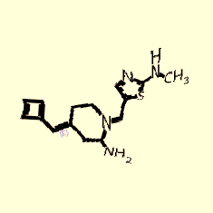 CNc1ncc(CN2CC/C(=C\C3=CC=C3)CC2N)s1